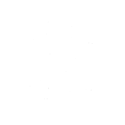 O=C([O-])c1cccc2c1OCO2.O=C([O-])c1cccc2c1OCO2.[Sn+2]